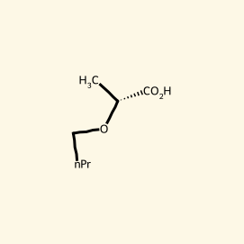 CCCCO[C@H](C)C(=O)O